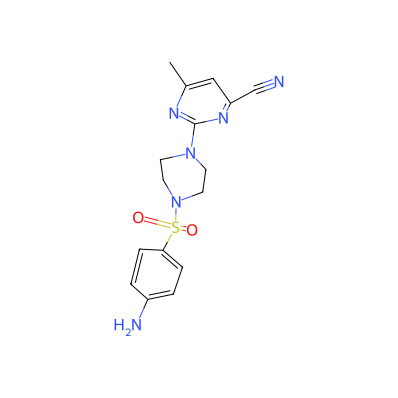 Cc1cc(C#N)nc(N2CCN(S(=O)(=O)c3ccc(N)cc3)CC2)n1